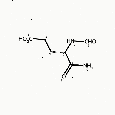 NC(=O)[C@H](CCC(=O)O)NC=O